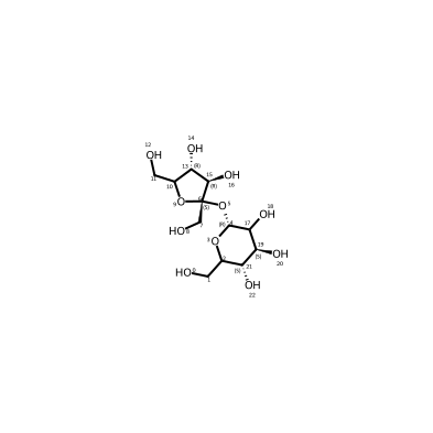 OCC1O[C@H](O[C@]2(CO)OC(CO)[C@H](O)[C@H]2O)C(O)[C@@H](O)[C@@H]1O